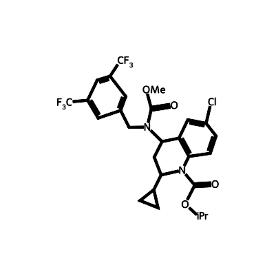 COC(=O)N(Cc1cc(C(F)(F)F)cc(C(F)(F)F)c1)C1CC(C2CC2)N(C(=O)OC(C)C)c2ccc(Cl)cc21